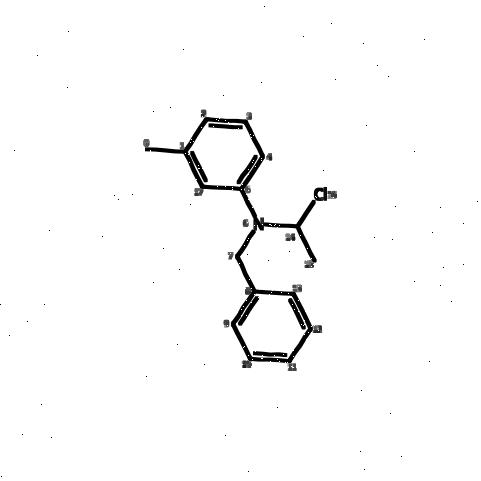 Cc1cccc(N(Cc2ccccc2)C(C)Cl)c1